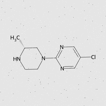 C[C@@H]1CN(c2ncc(Cl)cn2)CCN1